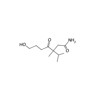 CC(C)C(C)(CC(N)=O)C(=O)CCCO